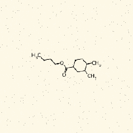 CCCCOC(=O)C1CCC(C)C(C)C1